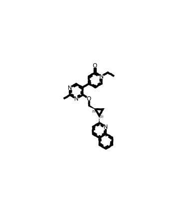 CCn1ccc(-c2cnc(C)nc2OC[C@H]2C[C@@H]2c2ccc3ccccc3n2)cc1=O